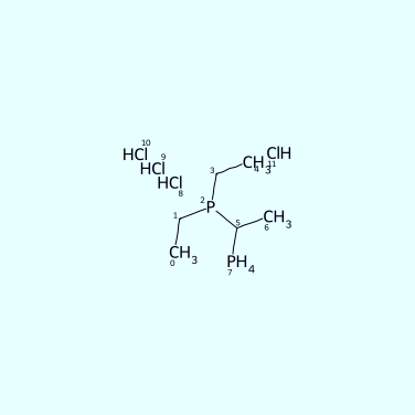 CCP(CC)C(C)[PH4].Cl.Cl.Cl.Cl